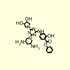 N[C@@H]1C[C@H](N)CN(c2nc(Nc3ccc(C(=O)Oc4ccccc4)c(O)c3)nc(N3C[C@@H](O)[C@@H](O)C3)n2)C1